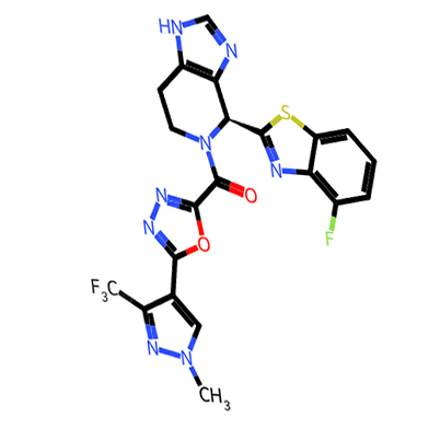 Cn1cc(-c2nnc(C(=O)N3CCc4[nH]cnc4[C@H]3c3nc4c(F)cccc4s3)o2)c(C(F)(F)F)n1